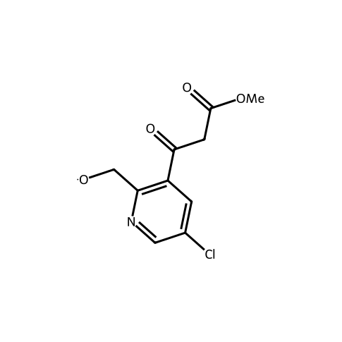 COC(=O)CC(=O)c1cc(Cl)cnc1C[O]